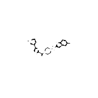 O=C(c1ncc(-c2ccc[n+]([O-])c2)s1)N1CCN(S(=O)(=O)c2cc3cc(Cl)ccc3[nH]2)CC1